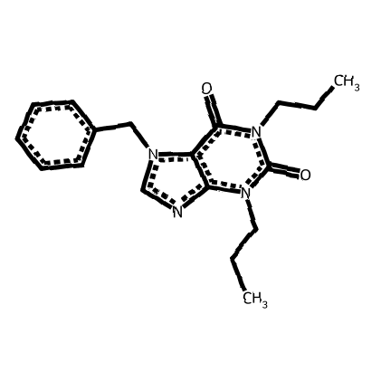 CCCn1c(=O)c2c(ncn2Cc2ccccc2)n(CCC)c1=O